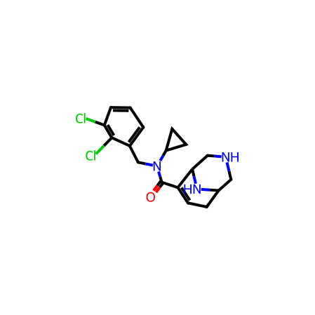 O=C(C1=CCC2CNCC1N2)N(Cc1cccc(Cl)c1Cl)C1CC1